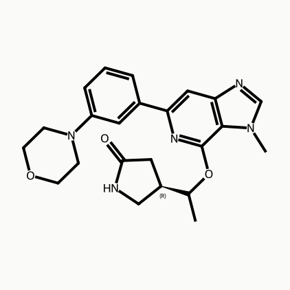 CC(Oc1nc(-c2cccc(N3CCOCC3)c2)cc2ncn(C)c12)[C@H]1CNC(=O)C1